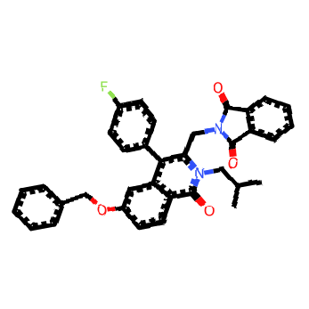 CC(C)Cn1c(CN2C(=O)c3ccccc3C2=O)c(-c2ccc(F)cc2)c2cc(OCc3ccccc3)ccc2c1=O